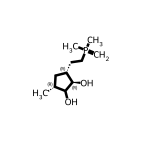 C=P(C)(C)CC[C@H]1C[C@@H](C)C(O)[C@@H]1O